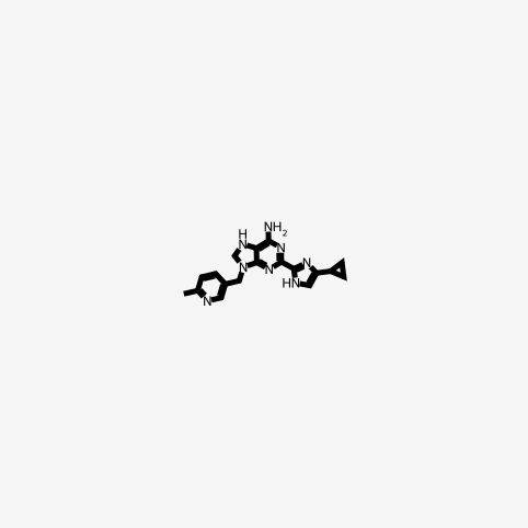 Cc1ccc(CN2CNc3c(N)nc(-c4nc(C5CC5)c[nH]4)nc32)cn1